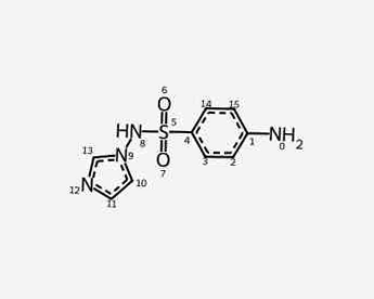 Nc1ccc(S(=O)(=O)Nn2ccnc2)cc1